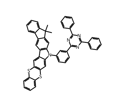 CC1(C)c2ccccc2-c2cc3c4cc5c(cc4n(-c4cccc(-c6nc(-c7ccccc7)nc(-c7ccccc7)n6)c4)c3cc21)Sc1ccccc1S5